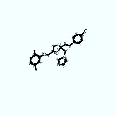 Cc1ccc(C)c(OCC2COC(CCc3ccc(Cl)cc3)(Cn3ccnc3)O2)c1